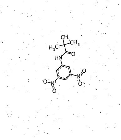 CC(C)(C)C(=O)Nc1cc([N+](=O)[O-])cc([N+](=O)[O-])c1